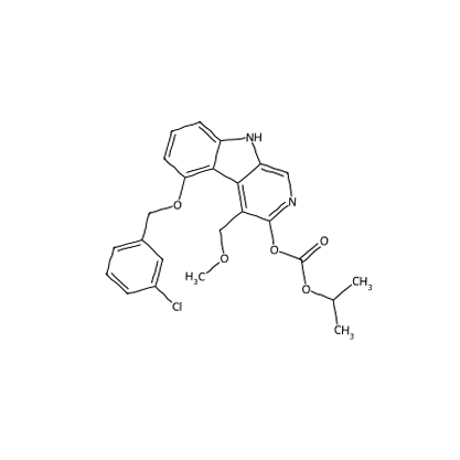 COCc1c(OC(=O)OC(C)C)ncc2[nH]c3cccc(OCc4cccc(Cl)c4)c3c12